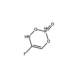 O=[PH]1OC=C(F)NO1